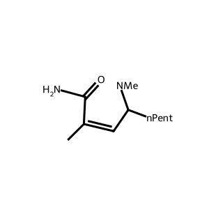 CCCCCC(C=C(C)C(N)=O)NC